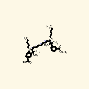 CCCCC\N=C(/C=C/C=C/C=C/C=C1/N(CCCCC)c2ccc(C(=O)O)cc2C1(C)C)C(C)(C)c1cccc(C(=O)OC)c1